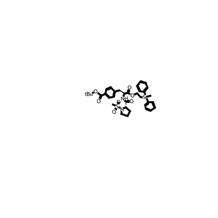 CC(C)(C)OC(=O)c1ccc(C[C@H](NC(=O)[C@@H]2CCCN2S(C)(=O)=O)C(=O)OCC[Si](C)(c2ccccc2)c2ccccc2)cc1